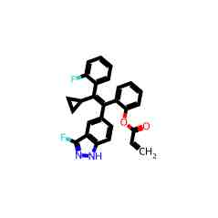 C=CC(=O)Oc1ccccc1/C(=C(\c1ccccc1F)C1CC1)c1ccc2[nH]nc(F)c2c1